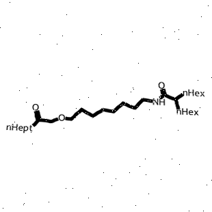 CCCCCCCC(=O)COCCCCCCCCNC(=O)C(CCCCCC)CCCCCC